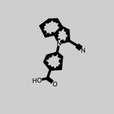 N#Cc1cc2ccccc2n1-c1ccc(C(=O)O)cc1